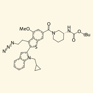 COc1cc(C(=O)N2CCC[C@@H](NC(=O)OC(C)(C)C)C2)cc2sc(-c3cc4ccccc4n3CC3CC3)c(CCN=[N+]=[N-])c12